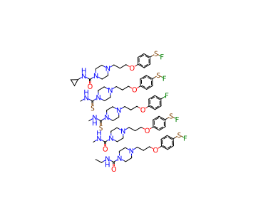 CCNC(=O)N1CCN(CCCOc2ccc(SF)cc2)CC1.CNC(=O)N1CCN(CCCOc2ccc(SF)cc2)CC1.CNC(=S)N1CCN(CCCOc2ccc(F)cc2)CC1.CNC(=S)N1CCN(CCCOc2ccc(SF)cc2)CC1.O=C(NC1CC1)N1CCN(CCCOc2ccc(SF)cc2)CC1